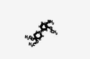 COc1cc(N2CCC(OC)(OC)CC2)ccc1N